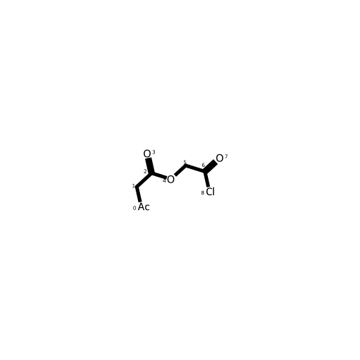 CC(=O)CC(=O)OCC(=O)Cl